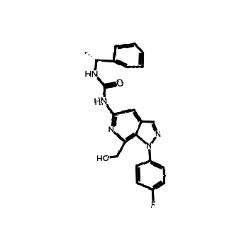 C[C@@H](NC(=O)Nc1cc2cnn(-c3ccc(F)cc3)c2c(CO)n1)c1ccccc1